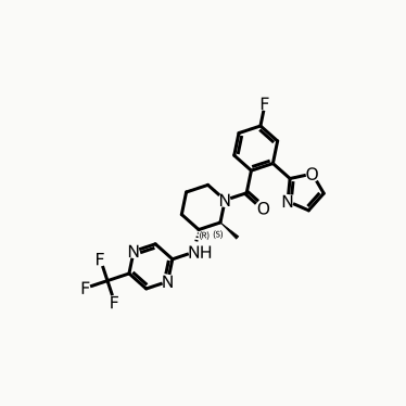 C[C@H]1[C@H](Nc2cnc(C(F)(F)F)cn2)CCCN1C(=O)c1ccc(F)cc1-c1ncco1